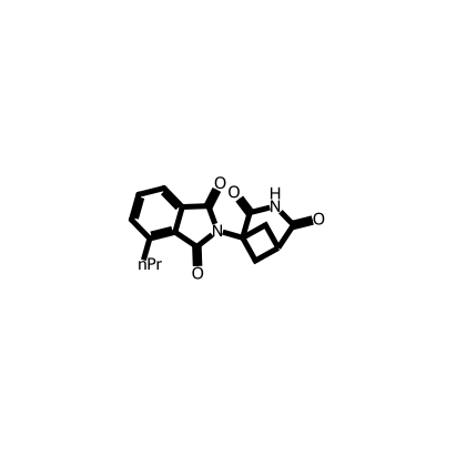 CCCc1cccc2c1C(=O)N(C13CC(C1)C(=O)NC3=O)C2=O